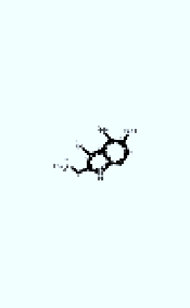 [2H]c1c(O)ccc2[nH]c(CC(=O)O)c([2H])c12